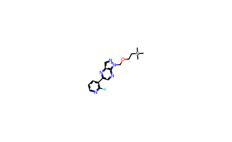 C[Si](C)(C)CCOCn1ncc2nc(-c3cccnc3F)cnc21